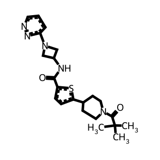 CC(C)(C)C(=O)N1CCC(c2ccc(C(=O)NC3CN(c4cccnn4)C3)s2)CC1